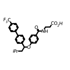 CC(C)CC(Oc1ccc(C(=O)NCCC(=O)O)cc1)c1ccc(-c2ccc(C(F)(F)F)cc2)cc1